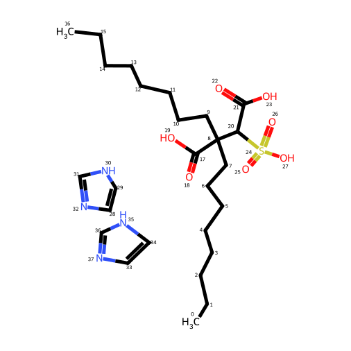 CCCCCCCCC(CCCCCCCC)(C(=O)O)C(C(=O)O)S(=O)(=O)O.c1c[nH]cn1.c1c[nH]cn1